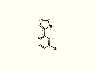 Brc1cccc(-c2cn[c][nH]2)c1